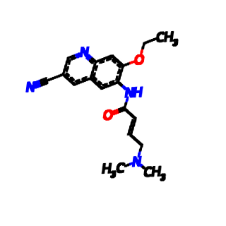 CCOc1cc2ncc(C#N)cc2cc1NC(=O)/C=C/CN(C)C